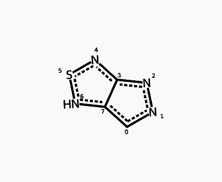 c1nnc2ns[nH]c1-2